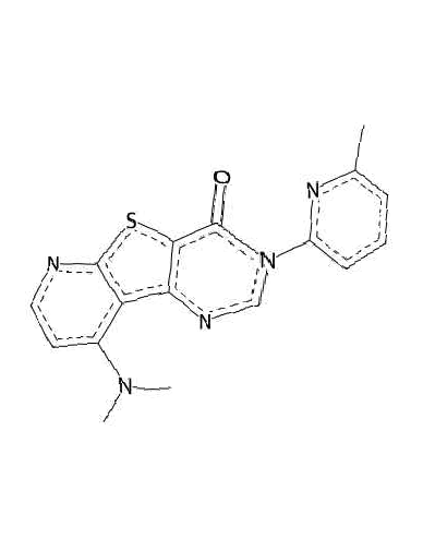 Cc1cccc(-n2cnc3c(sc4nccc(N(C)C)c43)c2=O)n1